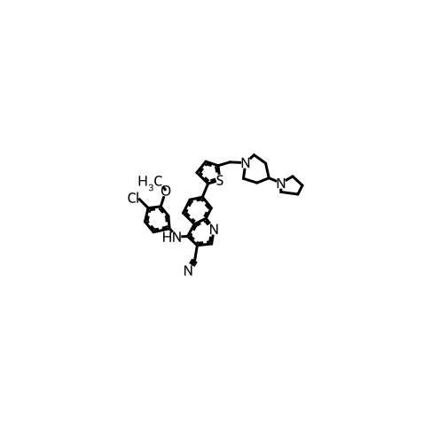 COc1cc(Nc2c(C#N)cnc3cc(-c4ccc(CN5CCC(N6CCCC6)CC5)s4)ccc23)ccc1Cl